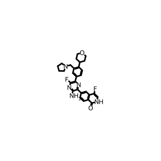 Nc1nc(F)c(-c2ccc(C3CCOCC3)c(CN3CCCC3)c2)nc1-c1ccc2c(=O)[nH]cc(F)c2c1